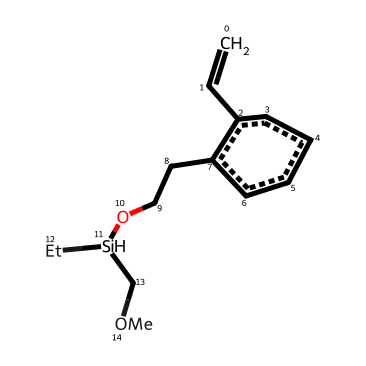 C=Cc1ccccc1CCO[SiH](CC)COC